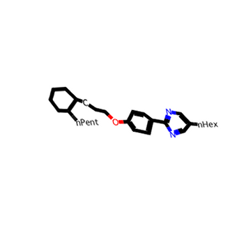 CCCCCCc1cnc(-c2ccc(OCCCC3CCCCC3CCCCC)cc2)nc1